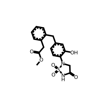 COC(=O)Cc1ccccc1Cc1ccc(N2CC(=O)NS2(=O)=O)c(O)c1